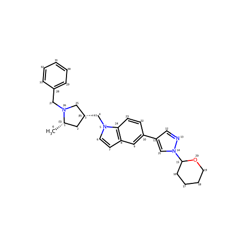 C[C@H]1C[C@@H](Cn2ccc3cc(-c4cnn(C5CCCCO5)c4)ccc32)CN1Cc1ccccc1